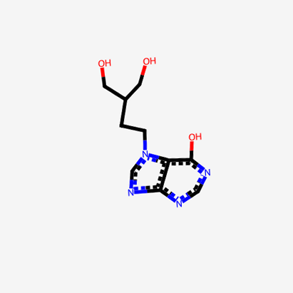 OCC(CO)CCn1cnc2ncnc(O)c21